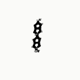 CC(C)C1CC2CN(C3CC4CN(C(C)C)CC4C3)CC2C1